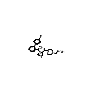 CC(c1ccccc1-c1ccc(F)cc1)n1cncc1CN1CCN(CCO)CC1